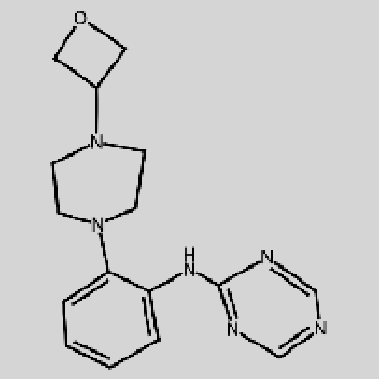 c1ccc(N2CCN(C3COC3)CC2)c(Nc2ncncn2)c1